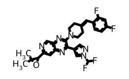 CC1(C)OC1c1cc2nc(-c3cnn(C(F)F)c3)c(N3CCC(=Cc4ccc(F)cc4F)CC3)nc2cn1